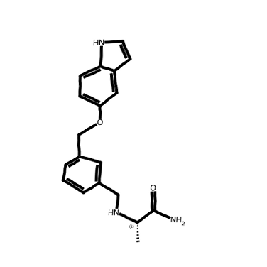 C[C@H](NCc1cccc(COc2ccc3[nH]ccc3c2)c1)C(N)=O